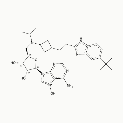 CC(C)N(C[C@H]1O[C@@H](n2c[n+](O)c3c(N)ncnc32)[C@H](O)[C@@H]1O)C1CC(CCc2nc3cc(C(C)(C)C)ccc3[nH]2)C1